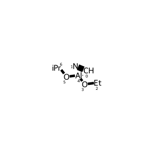 C#N.CC[O][Al][O]C(C)C